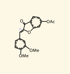 COc1ccc(/C=C2\Oc3cc(OC(C)=O)ccc3C2=O)cc1OC